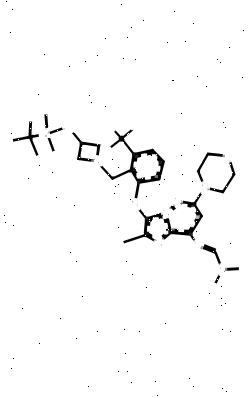 Cc1nc2c(/N=C/N(C)C)cc(N3CCOCC3)nn2c1Nc1cccc(C(F)(F)F)c1CN1CC(O[Si](C)(C)C(C)(C)C)C1